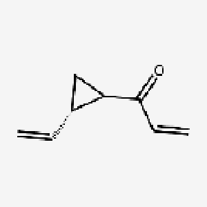 C=CC(=O)C1C[C@H]1C=C